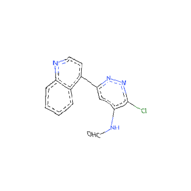 O=CNc1cc(-c2ccnc3ccccc23)nnc1Cl